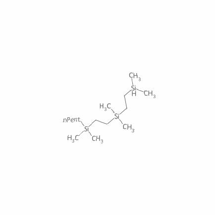 CCCCC[Si](C)(C)CC[Si](C)(C)CC[SiH](C)C